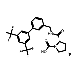 O=C(NCc1cccc(-c2cc(C(F)(F)F)cc(C(F)(F)F)c2)c1)[C@@H]1C[C@H](F)CN1C(=O)O